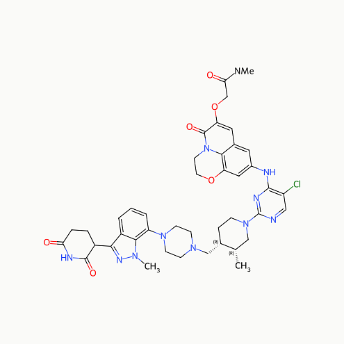 CNC(=O)COc1cc2cc(Nc3nc(N4CC[C@@H](CN5CCN(c6cccc7c(C8CCC(=O)NC8=O)nn(C)c67)CC5)[C@@H](C)C4)ncc3Cl)cc3c2n(c1=O)CCO3